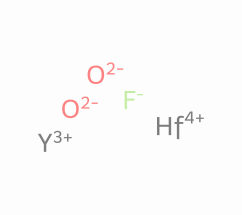 [F-].[Hf+4].[O-2].[O-2].[Y+3]